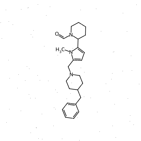 Cn1c(CN2CCC(Cc3ccccc3)CC2)ccc1C1CCCCN1C=O